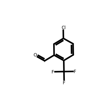 O=[C]c1cc(Cl)ccc1C(F)(F)F